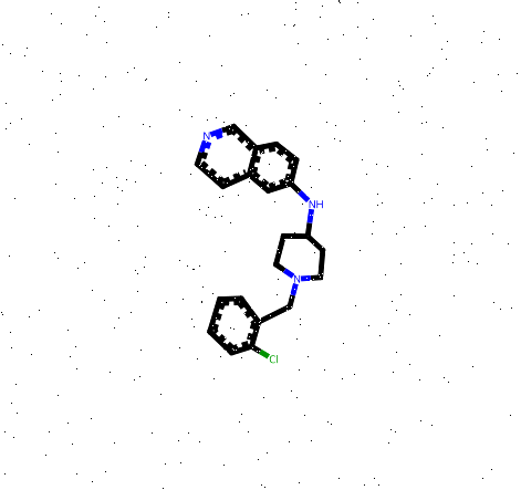 Clc1ccccc1CN1CCC(Nc2ccc3cnccc3c2)CC1